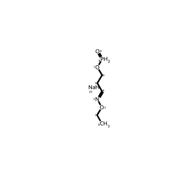 CCON=CCCO[PH2]=O.[NaH]